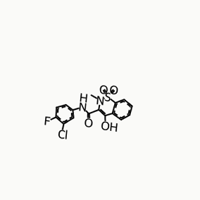 CN1C(C(=O)Nc2ccc(F)c(Cl)c2)=C(O)c2ccccc2S1(=O)=O